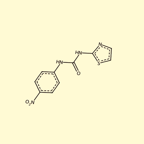 O=C(Nc1ccc([N+](=O)[O-])cc1)Nc1nccs1